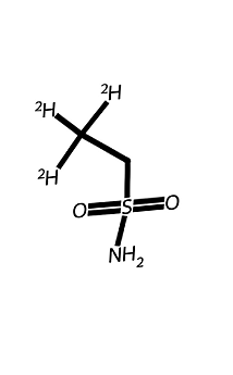 [2H]C([2H])([2H])CS(N)(=O)=O